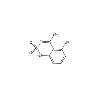 CC(C)c1cccc2c1C(N)=NS(=O)(=O)N2